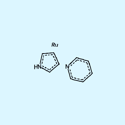 [Ru].c1cc[nH]c1.c1ccncc1